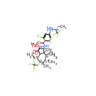 C=C[C@@H]1C(C(=O)NC)C(C)([C@H](NC(=O)c2c(F)cc(N[C@H](CC)C(F)(F)F)cc2F)C(=O)O)[C@@H](C)[C@H](C)[C@@H](C)[C@@H]1CC(F)(F)F